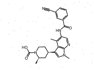 Cc1c(NC(=O)c2cccc(C#N)c2)cnc2c1c([C@@H]1CCN(C(=O)O)[C@H](C)C1)cn2C